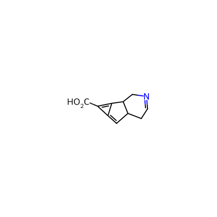 O=C(O)C1=C2C1=CC1CC=NCC21